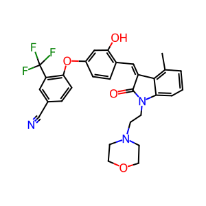 Cc1cccc2c1C(=Cc1ccc(Oc3ccc(C#N)cc3C(F)(F)F)cc1O)C(=O)N2CCN1CCOCC1